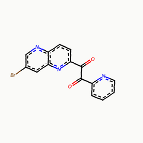 O=C(C(=O)c1ccc2ncc(Br)cc2n1)c1ccccn1